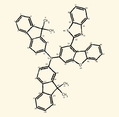 CC1(C)c2ccccc2-c2ccc(N(c3ccc4c(c3)C(C)(C)c3ccccc3-4)c3cc(-c4nc5ccccc5s4)c4c(c3)oc3ccccc34)cc21